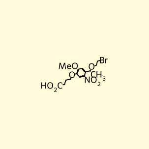 COc1cc(C(C)OCCBr)c([N+](=O)[O-])cc1OCCCC(=O)O